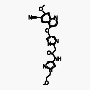 COCCn1cc(NC(=O)Cc2ncc(Oc3ccnc4cc(OC)c(C#N)cc34)cn2)cn1